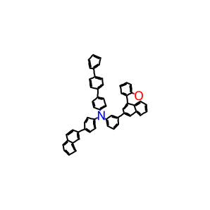 c1ccc(-c2ccc(-c3ccc(N(c4ccc(-c5ccc6ccccc6c5)cc4)c4cccc(-c5cc6c7c(cccc7c5)Oc5ccccc5-6)c4)cc3)cc2)cc1